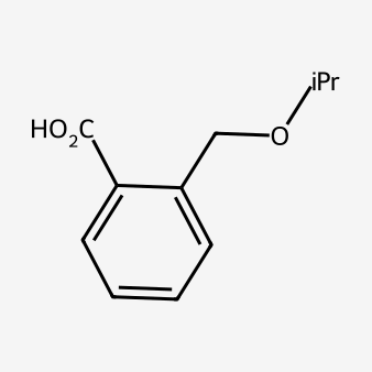 CC(C)OCc1ccccc1C(=O)O